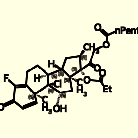 CCCCCC(=O)OCC(=O)[C@]1(OC(=O)CC)[C@H](C)C[C@H]2[C@@H]3CCC4=C(F)C(=O)C=C[C@]4(C)[C@@]3(Cl)[C@@H](O)C[C@@]21C